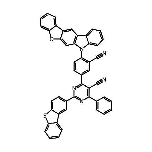 N#Cc1cc(-c2nc(-c3ccc4sc5ccccc5c4c3)nc(-c3ccccc3)c2C#N)ccc1-n1c2ccccc2c2cc3c(cc21)oc1ccccc13